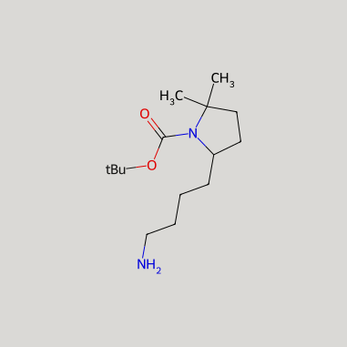 CC(C)(C)OC(=O)N1C(CCCCN)CCC1(C)C